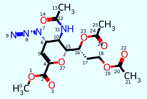 COC(=O)C1=C[C@H](N=[N+]=[N-])[C@@H](NC(C)=O)[C@H]([C@@H](CCOC(C)=O)OC(C)=O)O1